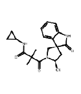 CC(C)(C(=O)NC1CC1)C(=O)N1C[C@]2(C[C@H]1C#N)C(=O)Nc1ccccc12